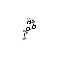 CS(=O)(=O)CCCS(=O)(=O)c1cccc(Oc2ccc(F)c(-c3ncnc4c(C(F)(F)F)cccc34)c2)c1